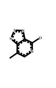 CCc1ncc(C)c2nsnc12